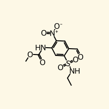 CCNS(=O)(=O)c1cc(NC(=O)OC)c([N+](=O)[O-])cc1C=O